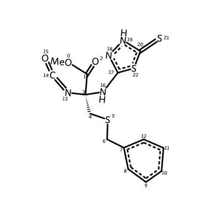 COC(=O)[C@](CSCc1ccccc1)(N=C=O)Nc1n[nH]c(=S)s1